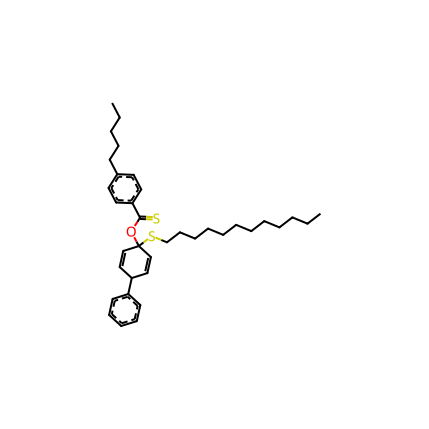 CCCCCCCCCCCCSC1(OC(=S)c2ccc(CCCCC)cc2)C=CC(c2ccccc2)C=C1